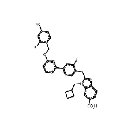 N#Cc1ccc(COc2cccc(-c3ccc(Cc4nc5ccc(C(=O)O)cc5n4CC4CCC4)c(F)c3)n2)c(F)c1